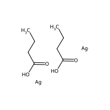 CCCC(=O)O.CCCC(=O)O.[Ag].[Ag]